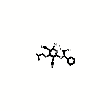 CC(C)COc1c(C#N)c(N)nc(SC(C(N)=O)c2ccccc2)c1C#N